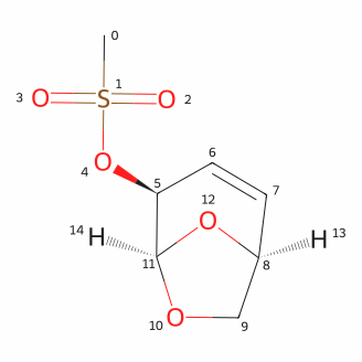 CS(=O)(=O)O[C@H]1C=C[C@H]2CO[C@@H]1O2